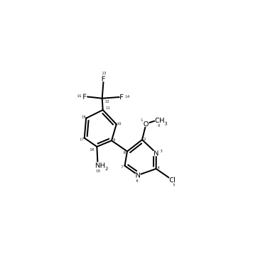 COc1nc(Cl)ncc1-c1cc(C(F)(F)F)ccc1N